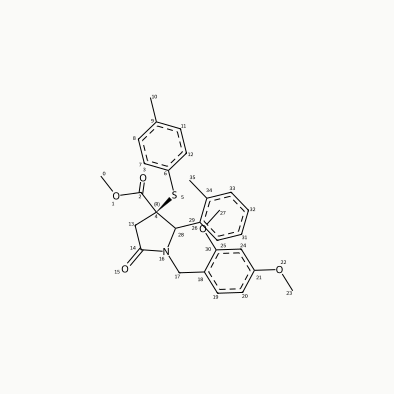 COC(=O)[C@@]1(Sc2ccc(C)cc2)CC(=O)N(Cc2ccc(OC)cc2OC)C1c1ccccc1C